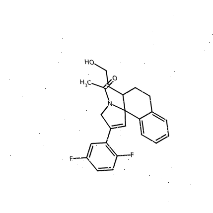 CC(=O)N1CC(c2cc(F)ccc2F)=CC12c1ccccc1CCC2CCO